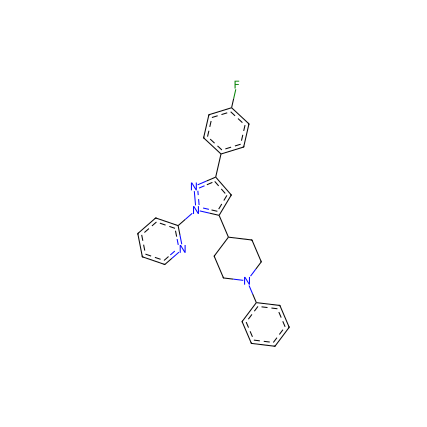 Fc1ccc(-c2cc(C3CCN(c4ccccc4)CC3)n(-c3ccccn3)n2)cc1